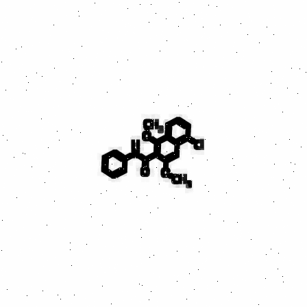 COc1cc2c(Cl)cccc2c(OC)c1C(=O)Nc1ccccc1